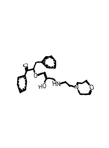 O=C(c1ccccc1)C(Cc1ccccc1)OCC(O)CNCCN1CCOCC1